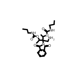 CCCNC(=O)OC(C)C(CN)(C(C)OC(=O)NCCC)N1C(=O)c2ccccc2C1=O